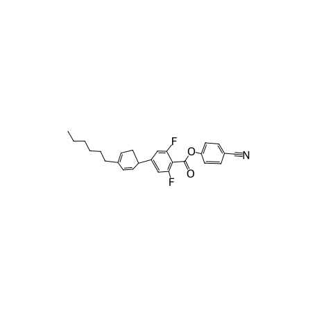 CCCCCCC1=CCC(c2cc(F)c(C(=O)Oc3ccc(C#N)cc3)c(F)c2)C=C1